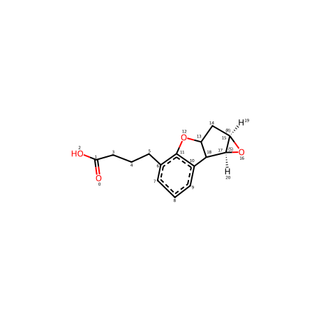 O=C(O)CCCc1cccc2c1OC1C[C@H]3O[C@H]3C21